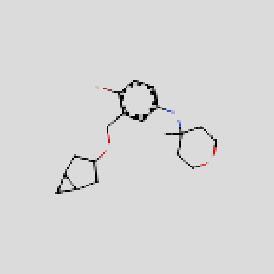 O=C(O)C1(Nc2ccc(Br)c(COC3CC4CC4C3)c2)CCOCC1